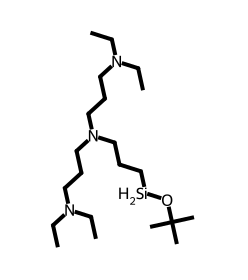 CCN(CC)CCCN(CCC[SiH2]OC(C)(C)C)CCCN(CC)CC